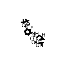 CC1(C)OB(c2cccc(NC(=O)[C@@H]3C[C@@H]4C[C@@]4(C(C)(C)C)N3C(=O)O)c2F)OC1(C)C